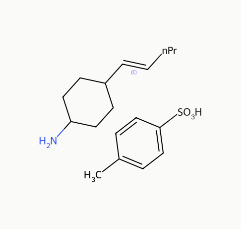 CCC/C=C/C1CCC(N)CC1.Cc1ccc(S(=O)(=O)O)cc1